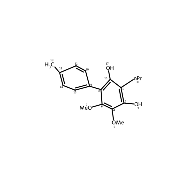 CCCc1c(O)c(OC)c(OC)c(-c2ccc(C)cc2)c1O